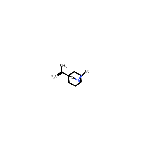 C=C(C)C12CCC(CC1)N(CC)C2